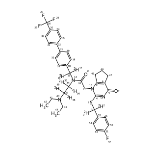 [2H]C([2H])(Sc1nc(=O)c2c(n1CC(=O)N(C([2H])([2H])c1ccc(-c3ccc(C(F)(F)F)cc3)cc1)C([2H])([2H])C([2H])([2H])N(CC)CC)CCC2)c1ccc(F)cc1